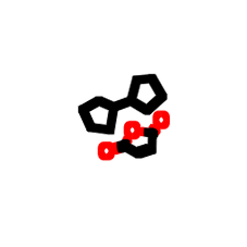 C1CCC(C2CCCC2)C1.O=C1C=CC(=O)O1